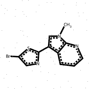 Cn1cc(-c2ncc(Br)s2)c2cccnc21